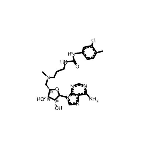 Cc1ccc(NC(=O)NCCCN(C)C[C@H]2OC(n3cnc4c(N)ncnc43)[C@H](O)[C@@H]2O)cc1Cl